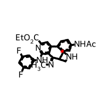 CCOC(=O)c1cc(-c2ccc(NC(C)=O)cc2)c(/C(=N\C)C2CNC2)c(Nc2cc(F)cc(F)c2)n1